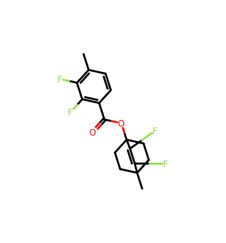 Cc1ccc(C(=O)OC23CCC(C)(CC2)C(F)=C3F)c(F)c1F